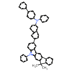 CC1(C)c2ccccc2-c2cc3c4cc(-c5ccc6cc(N(c7ccccc7)c7ccc(-c8ccccc8)cc7)ccc6c5)ccc4n(-c4ccccc4)c3cc21